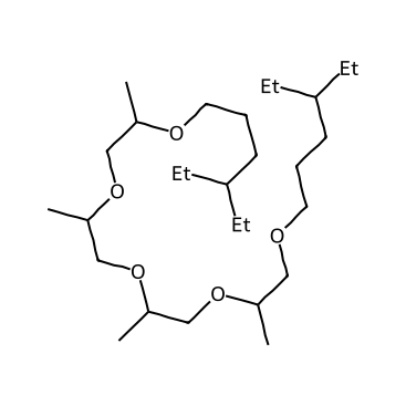 CCC(CC)CCCOCC(C)OCC(C)OCC(C)OCC(C)OCCCC(CC)CC